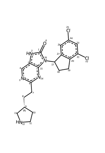 O=c1[nH]c2cnc(CC[C@@H]3CCNC3)nc2n1C1CCc2c(Cl)cc(Cl)cc21